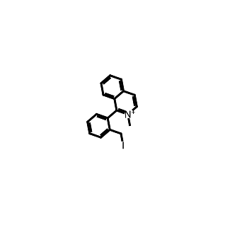 C[n+]1ccc2ccccc2c1-c1ccccc1CI